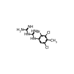 Cc1c(Cl)cc(NC(=N)NC(=N)N)c(Br)c1Cl